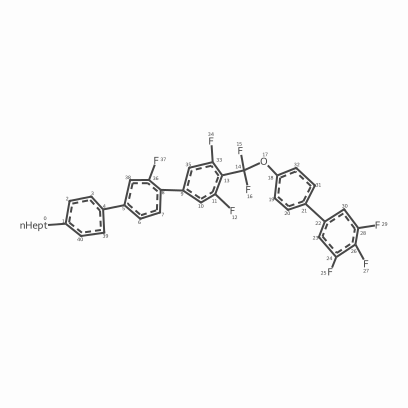 CCCCCCCc1ccc(-c2ccc(-c3cc(F)c(C(F)(F)Oc4ccc(-c5cc(F)c(F)c(F)c5)cc4)c(F)c3)c(F)c2)cc1